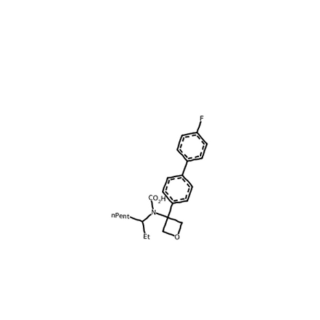 CCCCCC(CC)N(C(=O)O)C1(c2ccc(-c3ccc(F)cc3)cc2)COC1